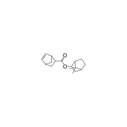 CC1(C)C2CCC1C(OC(=O)C1CC3C=CC1C3)C2